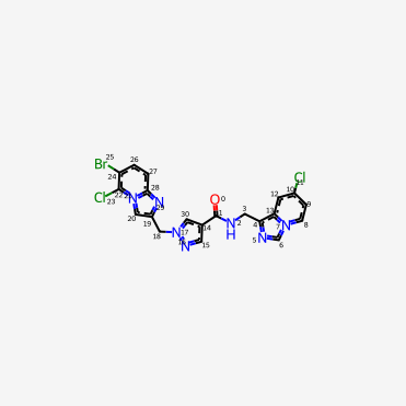 O=C(NCc1ncn2ccc(Cl)cc12)c1cnn(Cc2cn3c(Cl)c(Br)ccc3n2)c1